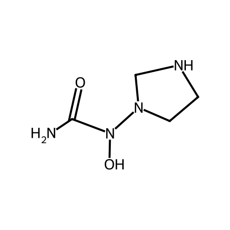 NC(=O)N(O)N1CCNC1